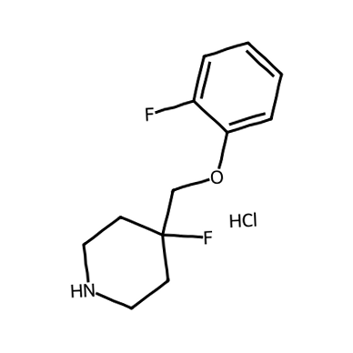 Cl.Fc1ccccc1OCC1(F)CCNCC1